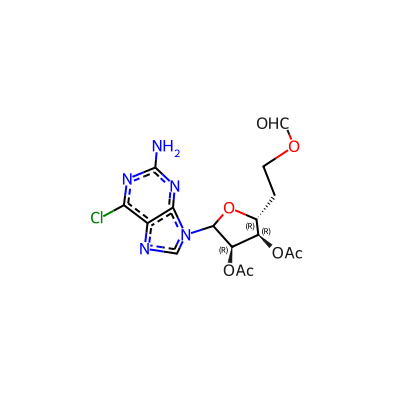 CC(=O)O[C@@H]1[C@@H](CCOC=O)OC(n2cnc3c(Cl)nc(N)nc32)[C@@H]1OC(C)=O